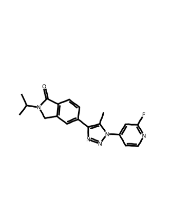 Cc1c(-c2ccc3c(c2)CN(C(C)C)C3=O)nnn1-c1ccnc(F)c1